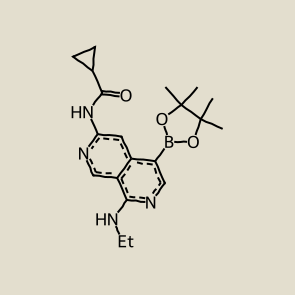 CCNc1ncc(B2OC(C)(C)C(C)(C)O2)c2cc(NC(=O)C3CC3)ncc12